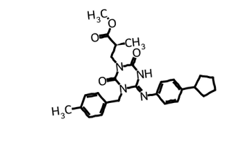 COC(=O)[C@@H](C)Cn1c(=O)[nH]/c(=N\c2ccc(C3CCCC3)cc2)n(Cc2ccc(C)cc2)c1=O